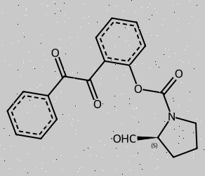 O=[C][C@@H]1CCCN1C(=O)Oc1ccccc1C(=O)C(=O)c1ccccc1